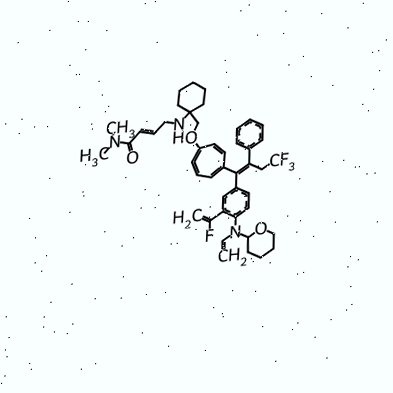 C=CN(c1ccc(/C(C2=CC=C=C(OCC3(NC/C=C/C(=O)N(C)C)CCCCC3)C=C2)=C(\CC(F)(F)F)c2ccccc2)cc1C(=C)F)C1CCCCO1